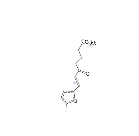 CCOC(=O)CCCC(=O)/C=C/c1ccc(C)o1